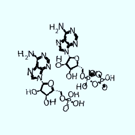 Nc1ncnc2c1ncn2[C@@H]1O[C@H](COP(=O)(O)O)[C@@H](O)[C@H]1O.Nc1ncnc2c1ncn2[C@@H]1O[C@H](COP(=O)(O)OP(=O)(O)O)[C@@H](O)[C@H]1O